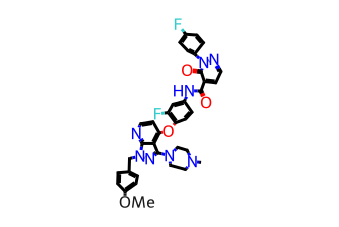 COc1ccc(Cn2nc(N3CCN(C)CC3)c3c(Oc4ccc(NC(=O)c5ccnn(-c6ccc(F)cc6)c5=O)cc4F)ccnc32)cc1